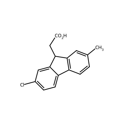 Cc1ccc2c(c1)C(CC(=O)O)c1cc(Cl)ccc1-2